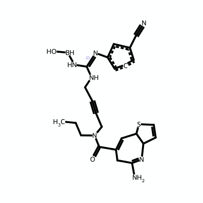 CCCN(CC#CCN/C(=N\c1cccc(C#N)c1)NBO)C(=O)C1=CC2SC=CC2N=C(N)C1